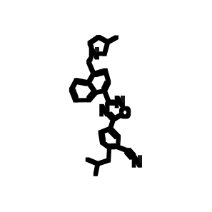 CC(C)Cc1ccc(-c2nc(-c3ccc(CN4CCC(C)C4)c4ccccc34)no2)cc1C#N